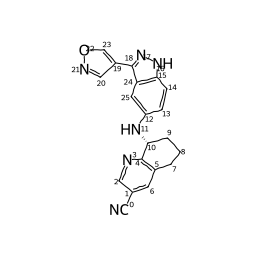 N#Cc1cnc2c(c1)CCC[C@H]2Nc1ccc2[nH]nc(-c3cnoc3)c2c1